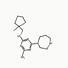 Nc1nc(NCC2(F)CCCC2)nc(N2CCCNCC2)n1